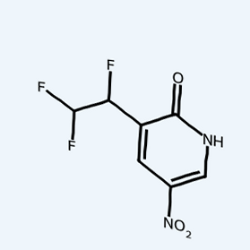 O=c1[nH]cc([N+](=O)[O-])cc1C(F)C(F)F